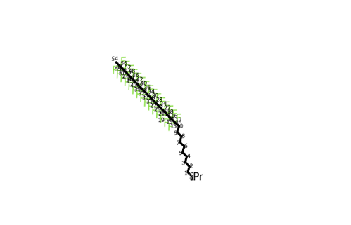 CC(C)CCCCCCCCCCC(F)(F)C(F)(F)C(F)(F)C(F)(F)C(F)(F)C(F)(F)C(F)(F)C(F)(F)C(F)(F)C(F)(F)C(F)(F)C(F)(F)C(F)(F)C(F)(F)C(C)(F)F